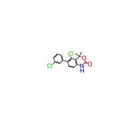 CC1(C)OC(=O)Nc2ccc(-c3cccc(Cl)c3)c(Cl)c21